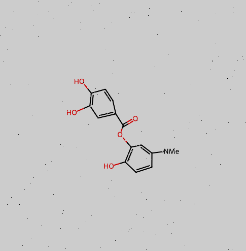 CNc1ccc(O)c(OC(=O)c2ccc(O)c(O)c2)c1